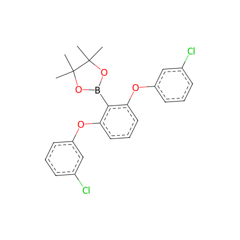 CC1(C)OB(c2c(Oc3cccc(Cl)c3)cccc2Oc2cccc(Cl)c2)OC1(C)C